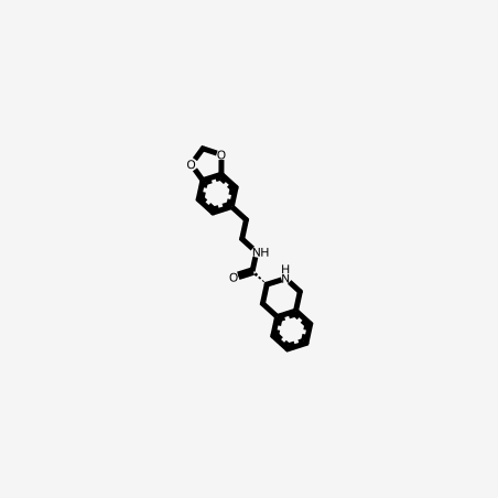 O=C(NCCc1ccc2c(c1)OCO2)[C@H]1Cc2ccccc2CN1